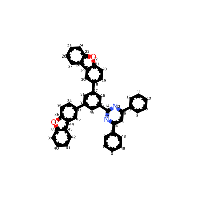 c1ccc(-c2cc(-c3ccccc3)nc(-c3cc(-c4ccc5oc6ccccc6c5c4)cc(-c4ccc5oc6ccccc6c5c4)c3)n2)cc1